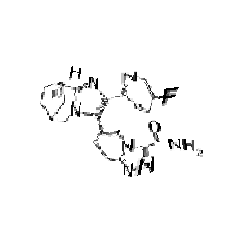 NC(=O)c1nnc2ccc(-c3c(-c4ccc(F)cn4)nc4n3CC3CC[C@@H]4C3)cn12